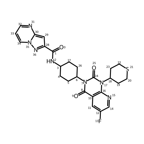 O=C(NC1CCC(n2c(=O)c3cc(F)cnc3n(C3CCSCC3)c2=O)CC1)c1cc2ncccn2n1